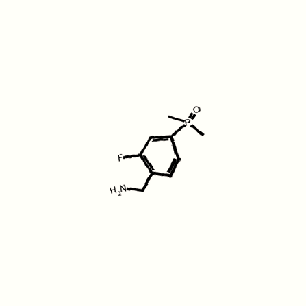 CP(C)(=O)c1ccc(CN)c(F)c1